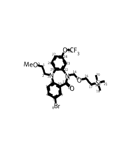 COCCN1c2ccc(Br)cc2C(=O)N(COCC[Si](C)(C)C)c2cc(OC(F)(F)F)ccc21